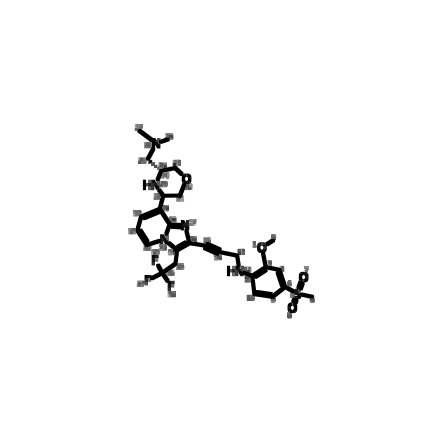 COc1cc(S(C)(=O)=O)ccc1NCC#Cc1nc2c(C3COC[C@@H](CN(C)C)N3)cccn2c1CC(F)(F)F